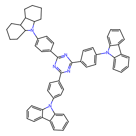 c1ccc2c(c1)c1ccccc1n2-c1ccc(-c2nc(-c3ccc(N4C5CCCCC5C5CCCCC54)cc3)nc(-c3ccc(-n4c5ccccc5c5ccccc54)cc3)n2)cc1